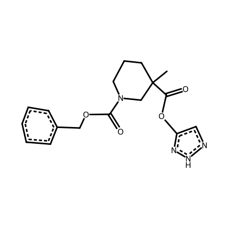 CC1(C(=O)Oc2cn[nH]n2)CCCN(C(=O)OCc2ccccc2)C1